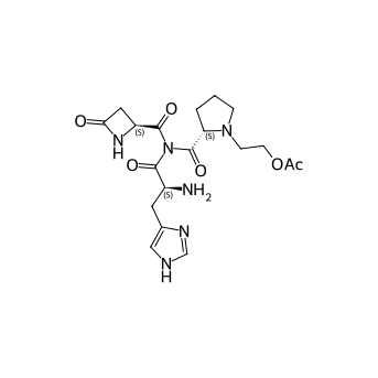 CC(=O)OCCN1CCC[C@H]1C(=O)N(C(=O)[C@@H]1CC(=O)N1)C(=O)[C@@H](N)Cc1c[nH]cn1